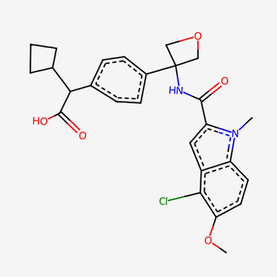 COc1ccc2c(cc(C(=O)NC3(c4ccc(C(C(=O)O)C5CCC5)cc4)COC3)n2C)c1Cl